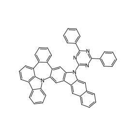 c1ccc(-c2nc(-c3ccccc3)nc(-n3c4cc5c(cc4c4cc6ccccc6cc43)-n3c4ccccc4c4cccc(c43)-c3ccccc3-5)n2)cc1